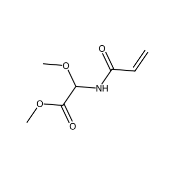 C=CC(=O)NC(OC)C(=O)OC